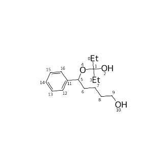 CCC(O)(CC)OC(CCCCO)c1ccccc1